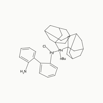 CCCC[PH]([Pd]([Cl])[c]1ccccc1-c1ccccc1N)(C12CC3CC(CC(C3)C1)C2)C12CC3CC(CC(C3)C1)C2